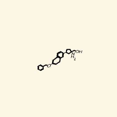 N[C@]1(CO)CC[C@H](c2ccc3c(c2)CC[C@@H](OCc2ccccc2)C3)C1